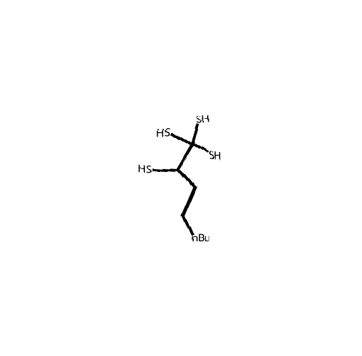 CCCCCCC(S)C(S)(S)S